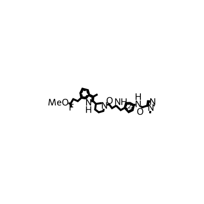 COC(F)CCc1cccc2c(C)c(C3CCCN(C(=O)CC(N)Cc4ccc(NC(=O)c5cncn5C)cc4)C3)[nH]c12